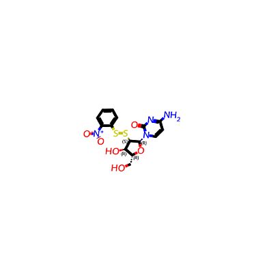 Nc1ccn([C@@H]2O[C@H](CO)[C@@H](O)[C@@H]2SSc2ccccc2[N+](=O)[O-])c(=O)n1